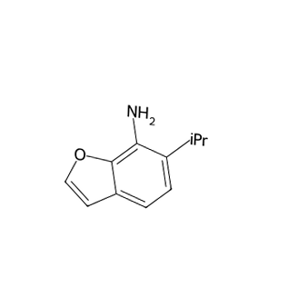 CC(C)c1ccc2ccoc2c1N